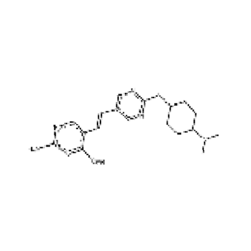 COc1nc(N)ncc1/C=C/c1cnc(NC2CCC(N(C)C)CC2)nc1